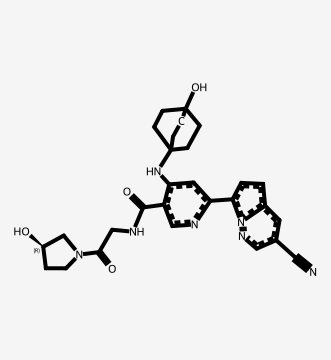 N#Cc1cnn2c(-c3cc(NC45CCC(O)(CC4)CC5)c(C(=O)NCC(=O)N4CC[C@@H](O)C4)cn3)ccc2c1